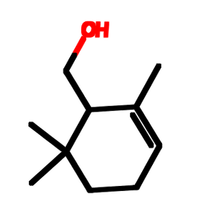 CC1=CCCC(C)(C)C1CO